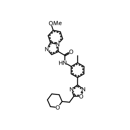 COc1ccn2c(C(=O)Nc3cc(-c4noc(CC5CCCCO5)n4)ccc3C)cnc2c1